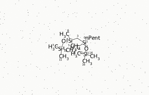 CCCCC[Si](C)(C[Si](C)(C)O[Si](C)(C)C)O[Si](C)(C)C